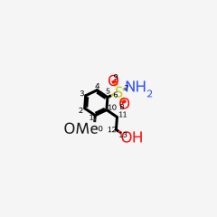 COc1cccc(S(N)(=O)=O)c1CCO